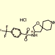 Cl.O=S(=O)(N[C@H]1COC2(CCNCC2)C1)c1ccc(C(F)(F)F)cc1